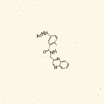 CC(=O)Nc1ccc(C)c(C(=O)NCc2cnc3ccccc3n2)c1